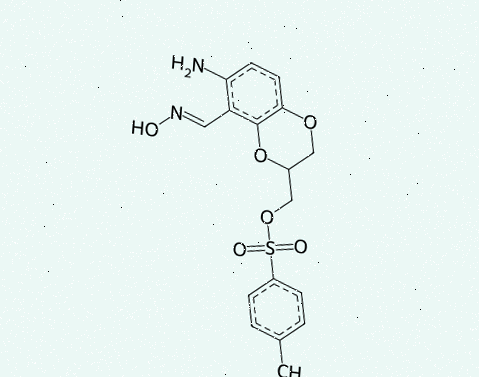 Cc1ccc(S(=O)(=O)OCC2COc3ccc(N)c(C=NO)c3O2)cc1